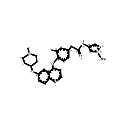 CN1CCC(Oc2ccc3nccc(Oc4ccc(CC(=O)Nc5cnn(C(C)(C)C)c5)cc4F)c3c2)CC1